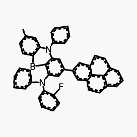 Cc1ccc2c(c1)N(c1ccccc1)c1cc(-c3cc4ccc5cccc6ccc(c3)c4c56)cc3c1B2c1ccccc1N3c1ccccc1F